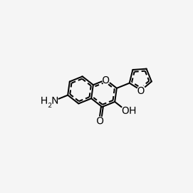 Nc1ccc2oc(-c3ccco3)c(O)c(=O)c2c1